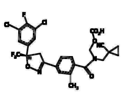 Cc1cc(C2=NO[C@@](c3cc(Cl)c(F)c(Cl)c3)(C(F)(F)F)C2)ccc1C(=O)N(COC(=O)O)CC1(C#N)CC1